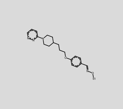 CCON=Cc1ccc(OCCCC2CCN(c3cccnn3)CC2)cc1